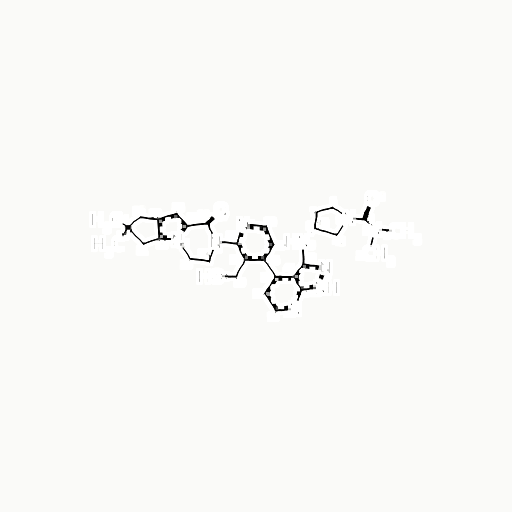 CN(C)C(=O)N1CC[C@@H](Nc2n[nH]c3nccc(-c4ccnc(N5CCn6c(cc7c6CC(C)(C)C7)C5=O)c4CO)c23)C1